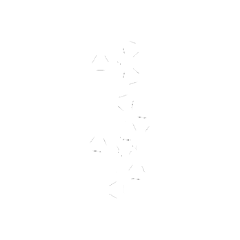 c1ccc(-c2nc(-c3cccc4c3oc3ccccc34)nc(-c3cccc4c3oc3ccc(-c5ccc6c7ccccc7n(-c7ccccc7)c6c5)cc34)n2)cc1